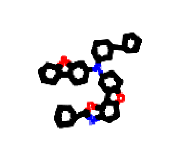 c1ccc(-c2cccc(N(c3ccc4c(c3)oc3ccccc34)c3ccc4oc5ccc6nc(-c7ccccc7)oc6c5c4c3)c2)cc1